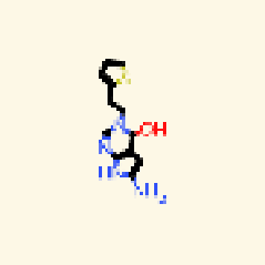 Nc1cc2c([nH]1)N=CN(CCc1cccs1)C2O